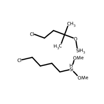 CC(C)(CCCl)O[SiH3].CO[SiH](CCCCCl)OC